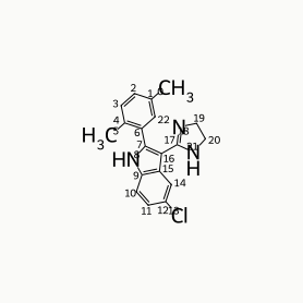 Cc1ccc(C)c(-c2[nH]c3ccc(Cl)cc3c2C2=NCCN2)c1